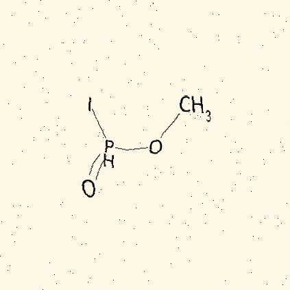 CO[PH](=O)I